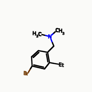 CCc1cc(Br)ccc1CN(C)C